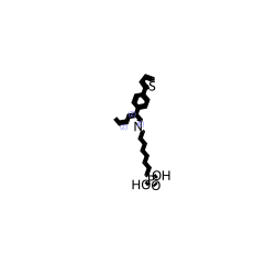 C\C=C/C=C(\C=N\CCCCCCCCP(=O)(O)O)c1ccc(-c2cccs2)cc1